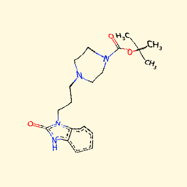 CC(C)(C)OC(=O)N1CCN(CCCn2c(=O)[nH]c3ccccc32)CC1